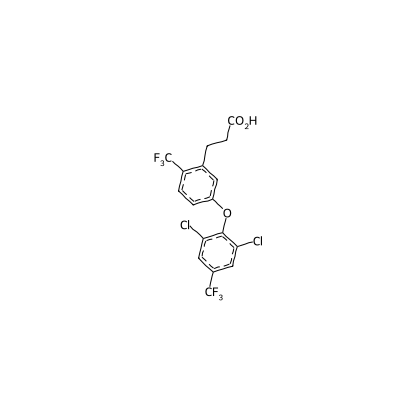 O=C(O)CCc1cc(Oc2c(Cl)cc(C(F)(F)F)cc2Cl)ccc1C(F)(F)F